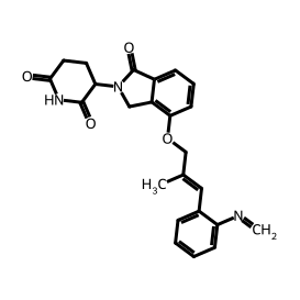 C=Nc1ccccc1/C=C(\C)COc1cccc2c1CN(C1CCC(=O)NC1=O)C2=O